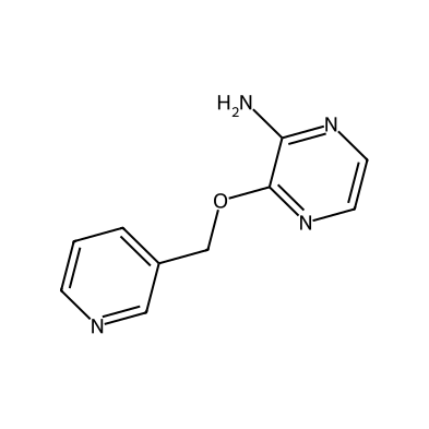 Nc1nccnc1OCc1cccnc1